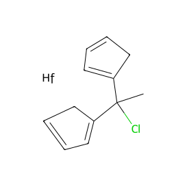 CC(Cl)(C1=CC=CC1)C1=CC=CC1.[Hf]